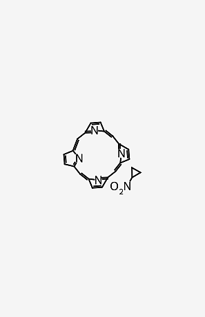 C1=CC2=NC1=CC1=NC(=CC3=NC(=CC4=NC(=C2)C=C4)C=C3)C=C1.O=[N+]([O-])C1CC1